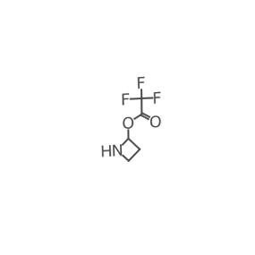 O=C(OC1CCN1)C(F)(F)F